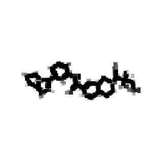 CC(C)(CO)C(=O)N1CCc2cnc(C(=O)Nc3cccc(-c4nnc5n4CCC5)n3)cc2C1